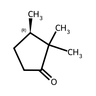 C[C@@H]1CCC(=O)C1(C)C